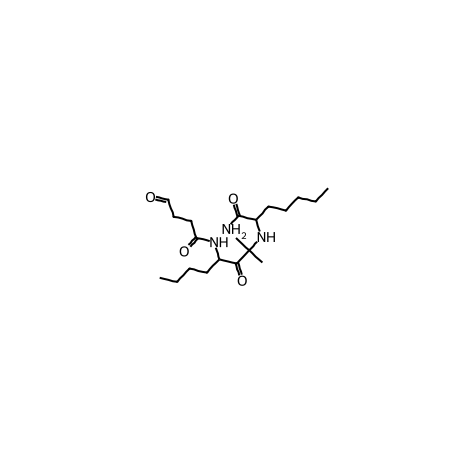 CCCCCC(NC(C)(C)C(=O)C(CCCC)NC(=O)CCC=O)C(N)=O